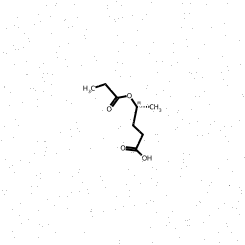 CCC(=O)O[C@H](C)CCC(=O)O